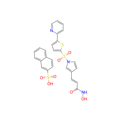 O=C(/C=C/c1ccn(S(=O)(=O)c2ccc(-c3ccccn3)s2)c1)NO.O=S(=O)(O)c1ccc2ccccc2c1